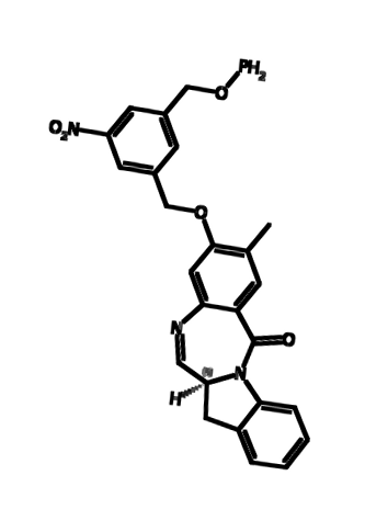 Cc1cc2c(cc1OCc1cc(COP)cc([N+](=O)[O-])c1)N=C[C@@H]1Cc3ccccc3N1C2=O